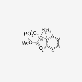 COC(=O)[C@](N)(C(=O)O)c1ccccc1